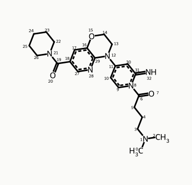 CN(C)CCCC(=O)n1ccc(N2CCOc3cc(C(=O)N4CCCCC4)cnc32)cc1=N